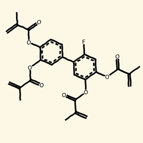 C=C(C)C(=O)Oc1ccc(-c2cc(OC(=O)C(=C)C)c(OC(=O)C(=C)C)cc2F)cc1OC(=O)C(=C)C